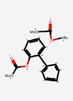 CCCCOC(=O)OC.COC(=O)Oc1ccccc1-c1ccccc1